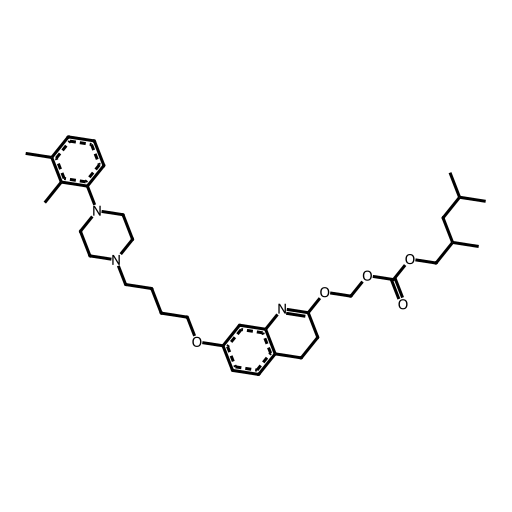 Cc1cccc(N2CCN(CCCCOc3ccc4c(c3)N=C(OCOC(=O)OCC(C)CC(C)C)CC4)CC2)c1C